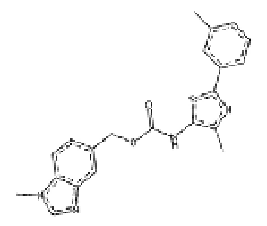 Cc1cccc(-c2nc(C)c(NC(=O)OCc3ccc4c(c3)ncn4C)s2)c1